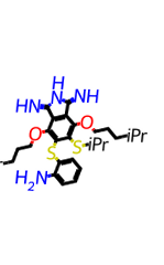 CC(C)CCCOc1c(Sc2ccccc2N)c(SC(C)C)c(OCCCC(C)C)c2c1C(=N)NC2=N